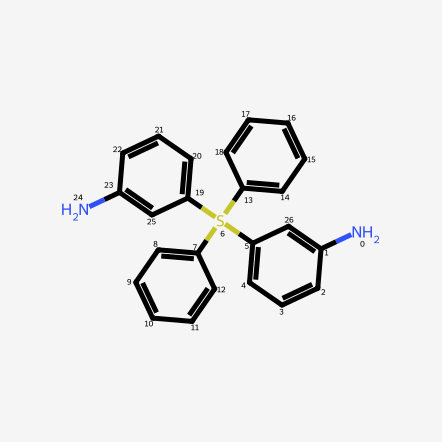 Nc1cccc(S(c2ccccc2)(c2ccccc2)c2cccc(N)c2)c1